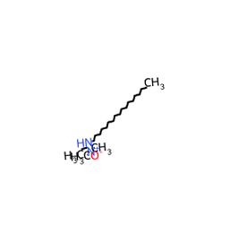 CCCCCCCCCCCCCCCCCCNC(CC)[N+](C)(C)[O-]